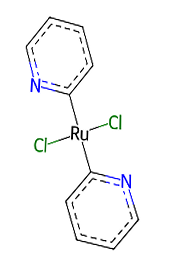 [Cl][Ru]([Cl])([c]1ccccn1)[c]1ccccn1